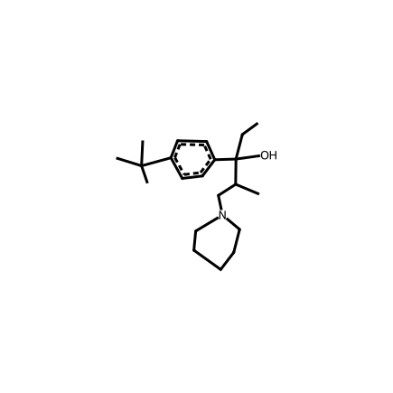 CCC(O)(c1ccc(C(C)(C)C)cc1)C(C)CN1CCCCC1